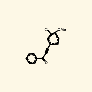 COc1ccc(C#CC(=O)c2ccccc2)cc1Cl